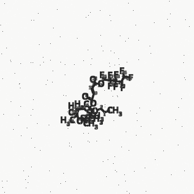 CCCOC(C)(OC(=O)C=CC(=O)OC(F)C(F)(F)C(F)(F)C(F)C(F)F)[Si]1(C)CCC(C)(C)O[Si]1(C)C